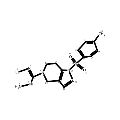 CCN=C(NN)N1CCc2c(cnn2S(=O)(=O)c2ccc(C)cc2)C1